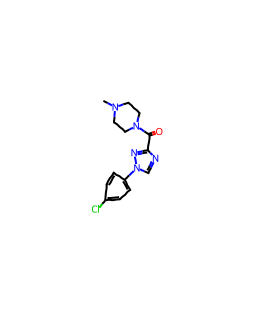 CN1CCN(C(=O)c2ncn(-c3ccc(Cl)cc3)n2)CC1